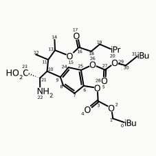 CCC(C)COC(=O)Oc1ccc(C(C(C)C(C)OC(=O)CCC(C)C)[C@H](N)C(=O)O)cc1OC(=O)OCC(C)CC